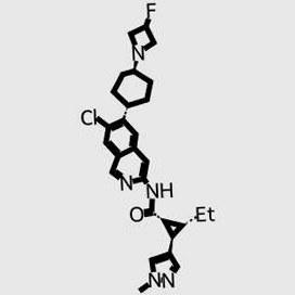 CC[C@H]1[C@@H](C(=O)Nc2cc3cc([C@H]4CC[C@H](N5CC(F)C5)CC4)c(Cl)cc3cn2)[C@@H]1c1cnn(C)c1